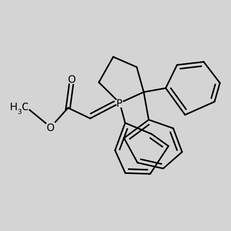 COC(=O)C=P1(c2ccccc2)CCCC1(c1ccccc1)c1ccccc1